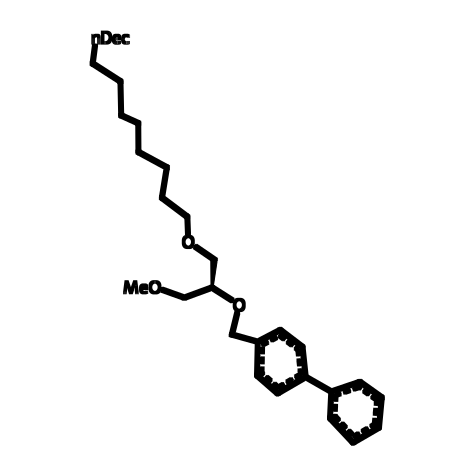 CCCCCCCCCCCCCCCCCCOC[C@H](COC)OCc1ccc(-c2ccccc2)cc1